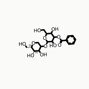 O=C(OC1C(O)C(CO)OC(OC2CO[C@@H](CO)[C@@H](O)C2O)C1O)c1ccccc1